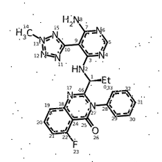 CC[C@H](Nc1ncnc(N)c1-c1nnn(C)n1)c1nc2cccc(F)c2c(=O)n1-c1ccccc1